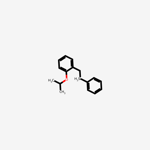 CC(C)Oc1ccccc1C[SiH2]c1ccccc1